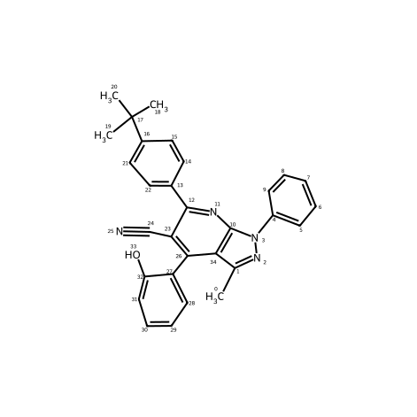 Cc1nn(-c2ccccc2)c2nc(-c3ccc(C(C)(C)C)cc3)c(C#N)c(-c3ccccc3O)c12